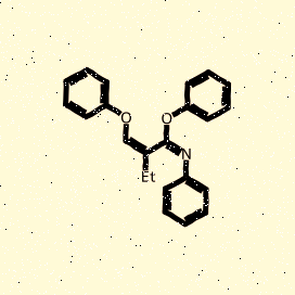 CCC(=COc1ccccc1)C(=Nc1ccccc1)Oc1ccccc1